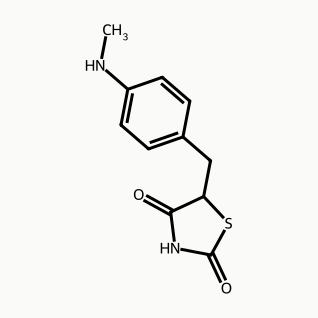 CNc1ccc(CC2SC(=O)NC2=O)cc1